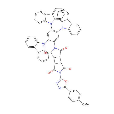 COc1ccc(-c2nnc(N3C(=O)C4C(C3=O)C3C(=O)N(c5cc(-n6c7ccccc7c7ccccc76)c(-n6c7ccccc7c7ccccc76)cc5-n5c6ccccc6c6ccccc65)C(=O)C43)o2)cc1